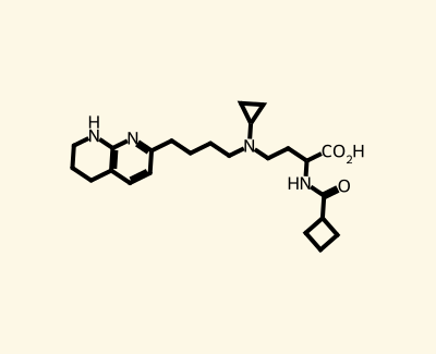 O=C(NC(CCN(CCCCc1ccc2c(n1)NCCC2)C1CC1)C(=O)O)C1CCC1